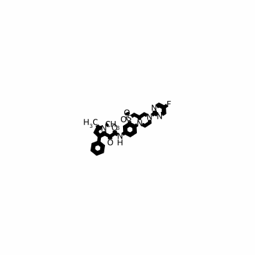 Cc1cc(-c2ccccc2)c(C(=O)C(=O)Nc2ccc3c(c2)S(=O)(=O)CC2CN(c4ncc(F)cn4)CCN32)n1C